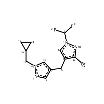 FC(F)n1cc(Cc2cnn(CC3CC3)c2)c(Br)n1